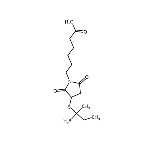 BC(C)(CC)SC1CC(=O)N(CCCCCC(C)=O)C1=O